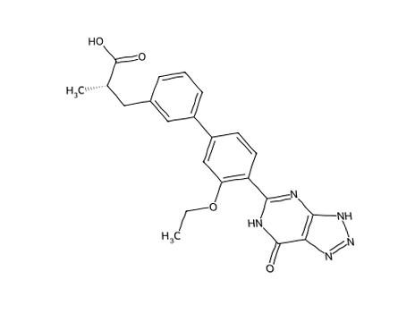 CCOc1cc(-c2cccc(C[C@H](C)C(=O)O)c2)ccc1-c1nc2[nH]nnc2c(=O)[nH]1